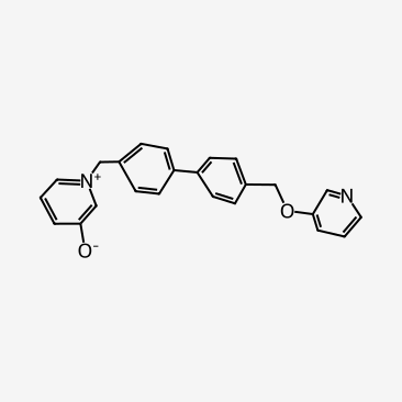 [O-]c1ccc[n+](Cc2ccc(-c3ccc(COc4cccnc4)cc3)cc2)c1